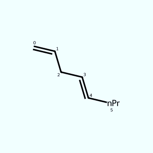 C=CCC=CC[CH]C